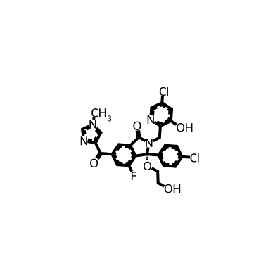 Cn1cnc(C(=O)c2cc(F)c3c(c2)C(=O)N(Cc2ncc(Cl)cc2O)[C@@]3(OCCO)c2ccc(Cl)cc2)c1